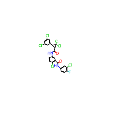 O=C(Nc1ccc(F)c(Cl)c1)c1cc(NC(=O)C2C(c3cc(Cl)cc(Cl)c3)C2(Cl)Cl)ccc1Cl